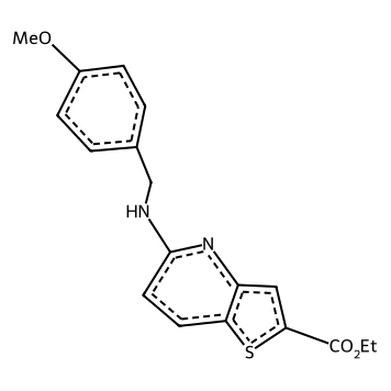 CCOC(=O)c1cc2nc(NCc3ccc(OC)cc3)ccc2s1